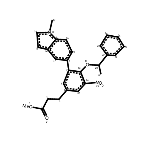 COC(=O)CCc1cc(-c2ccc3c(ccn3C)c2)c(OC(C)c2ccccc2)c([N+](=O)[O-])c1